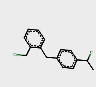 CC(Cl)c1ccc(Cc2ccccc2CCl)cc1